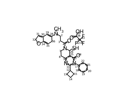 CN(CCC(=O)N1CCc2nc(C3CCC3)n(-c3ccccc3)c(=O)c2C1S)C1=CC2=CCOC2=CC1.O=C(O)C(F)(F)F